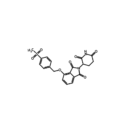 CS(=O)(=O)c1ccc(COc2cccc3c2C(=O)N(C2CCC(=O)NC2=O)C3=O)cc1